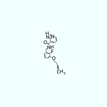 CC#CCCOc1cccc(CNC(=O)c2cccnc2N)c1F